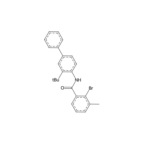 Cc1cccc(C(=O)Nc2ccc(-c3ccccc3)cc2C(C)(C)C)c1Br